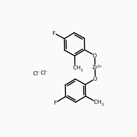 Cc1cc(F)ccc1[O][Zr+2][O]c1ccc(F)cc1C.[Cl-].[Cl-]